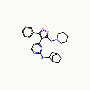 c1ccc(-c2noc(CN3CCCCC3)c2-c2ccnc(NC3CC4CCC3C4)n2)cc1